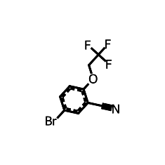 N#Cc1cc(Br)ccc1OCC(F)(F)F